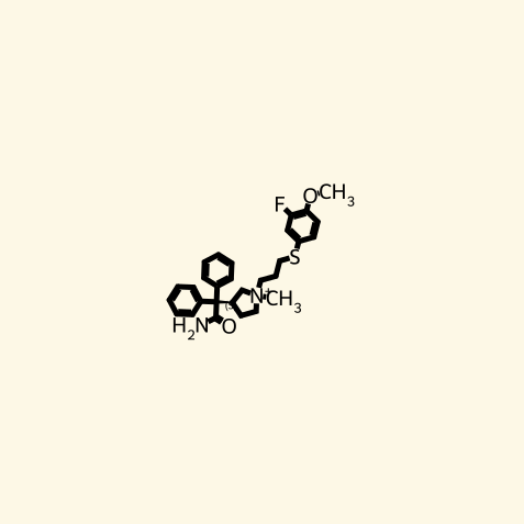 COc1ccc(SCCC[N+]2(C)CC[C@@H](C(C(N)=O)(c3ccccc3)c3ccccc3)C2)cc1F